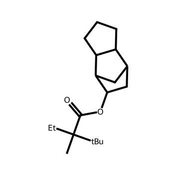 CCC(C)(C(=O)OC1CC2CC1C1CCCC21)C(C)(C)C